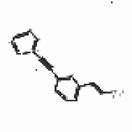 O=C(O)C=Cc1cccc(C#Cc2ccccc2)c1